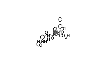 O=C(CNC(=O)c1cccc(NC2=NCCCO2)c1)NC[C@@H](NC(=O)c1c(Cl)cc(-c2ccccc2)cc1Cl)C(=O)O